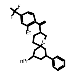 C=C(c1ccc(C(C)(F)F)cc1CC)C1CCC2(CC1)CC(CCC)CC(c1ccccc1)C2